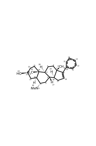 CN[C@H]1C[C@@H]2[C@H](CC[C@]3(C)C(c4ccccc4)=CC[C@@H]23)[C@@]2(C)CC[C@H](O)C[C@H]12